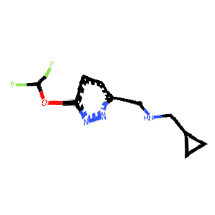 FC(F)Oc1ccc(CNCC2CC2)nn1